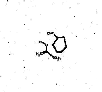 C=C(OCC)C(=O)O.O=CC1CCCCC1